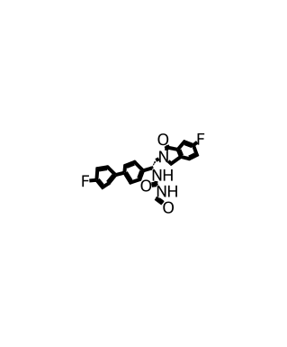 O=CNC(=O)N[C@@H](CN1Cc2ccc(F)cc2C1=O)c1ccc(-c2ccc(F)cc2)cc1